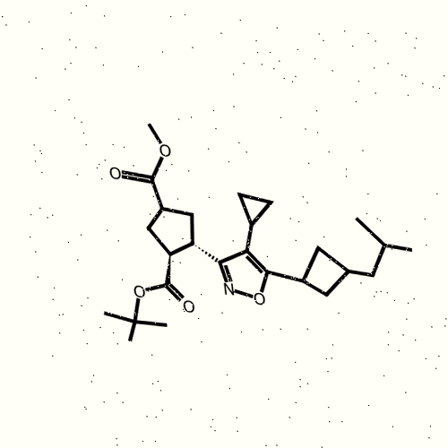 COC(=O)C1C[C@H](C(=O)OC(C)(C)C)[C@@H](c2noc(C3CC(CC(C)C)C3)c2C2CC2)C1